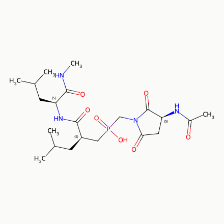 CNC(=O)[C@H](CC(C)C)NC(=O)[C@H](CC(C)C)CP(=O)(O)CN1C(=O)C[C@H](NC(C)=O)C1=O